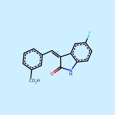 O=C1Nc2ccc(F)cc2/C1=C/c1cccc(C(=O)O)c1